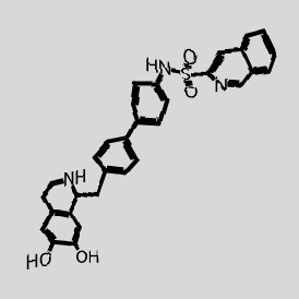 O=S(=O)(Nc1ccc(-c2ccc(CC3NCCc4cc(O)c(O)cc43)cc2)cc1)c1cc2ccccc2cn1